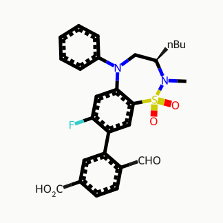 CCCC[C@@H]1CN(c2ccccc2)c2cc(F)c(-c3cc(C(=O)O)ccc3C=O)cc2S(=O)(=O)N1C